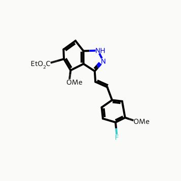 CCOC(=O)c1ccc2[nH]nc(C=Cc3ccc(F)c(OC)c3)c2c1OC